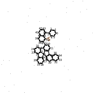 c1ccc2c(c1)Sc1c(-c3ccc4c(c3)C3(c5ccccc5-c5ccccc53)c3ccc5ccccc5c3-4)ccc3cccc-2c13